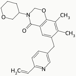 C=Cc1ccc(Cc2cc3c(c(C)c2C)OCN(C2CCCOC2)C3=O)cn1